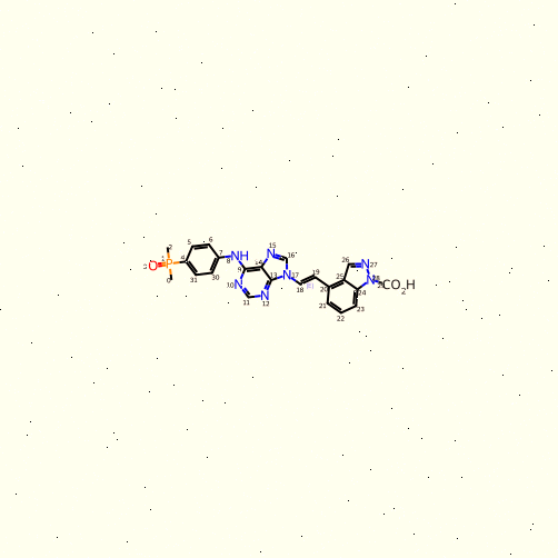 CP(C)(=O)c1ccc(Nc2ncnc3c2ncn3/C=C/c2cccc3c2cnn3C(=O)O)cc1